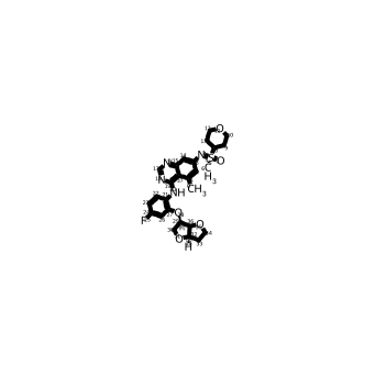 Cc1cc(N=S(C)(=O)C2CCOCC2)cc2ncnc(Nc3ccc(F)cc3O[C@@H]3CO[C@@H]4CCOC43)c12